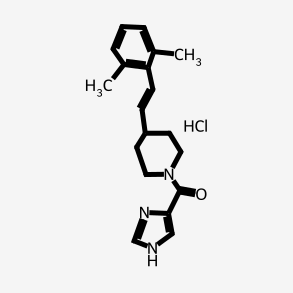 Cc1cccc(C)c1/C=C/C1CCN(C(=O)c2c[nH]cn2)CC1.Cl